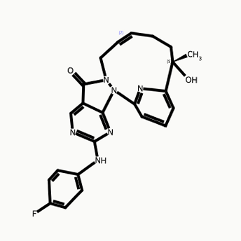 C[C@]1(O)CC/C=C\Cn2c(=O)c3cnc(Nc4ccc(F)cc4)nc3n2-c2cccc1n2